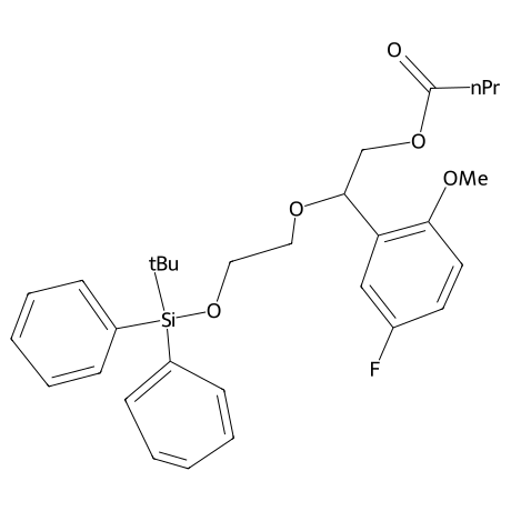 CCCC(=O)OCC(OCCO[Si](c1ccccc1)(c1ccccc1)C(C)(C)C)c1cc(F)ccc1OC